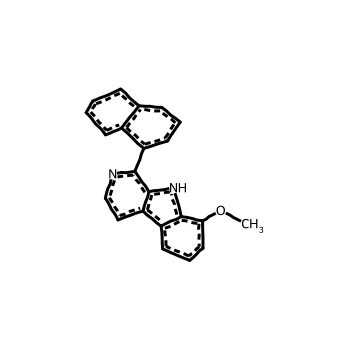 COc1cccc2c1[nH]c1c(-c3cccc4ccccc34)nccc12